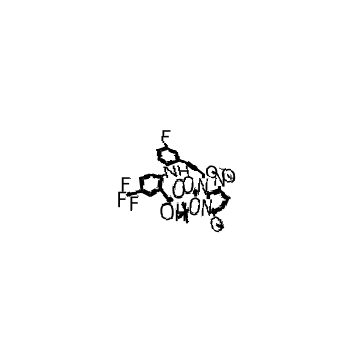 COc1ccc([N+](=O)[O-])c(N(CC#Cc2cc(F)ccc2Nc2ccc(C(F)(F)F)cc2C(=O)O)C(=O)OC(C)(C)C)n1